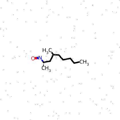 CCCCCC(C)C[C@H](C)N=O